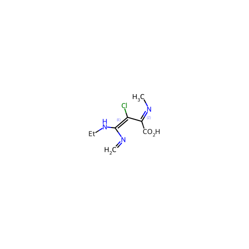 C=N/C(NCC)=C(Cl)\C(=N/C)C(=O)O